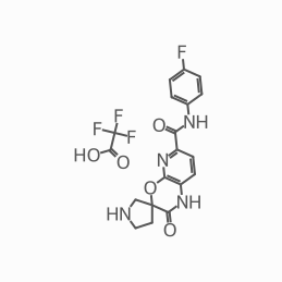 O=C(Nc1ccc(F)cc1)c1ccc2c(n1)OC1(CCNC1)C(=O)N2.O=C(O)C(F)(F)F